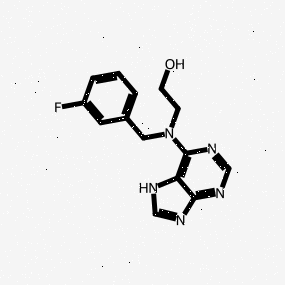 OCCN(Cc1cccc(F)c1)c1ncnc2nc[nH]c12